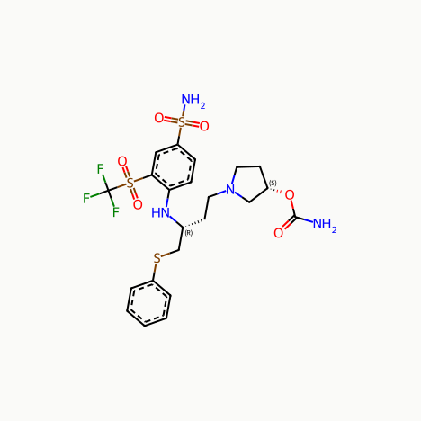 NC(=O)O[C@H]1CCN(CC[C@H](CSc2ccccc2)Nc2ccc(S(N)(=O)=O)cc2S(=O)(=O)C(F)(F)F)C1